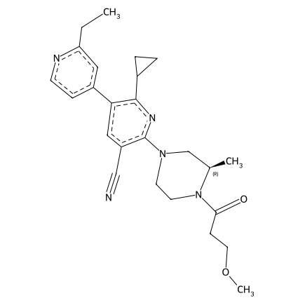 CCc1cc(-c2cc(C#N)c(N3CCN(C(=O)CCOC)[C@H](C)C3)nc2C2CC2)ccn1